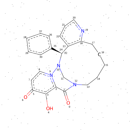 O=C1c2c(O)c(=O)ccn2N2CN1CCCCCc1ncccc1[C@@H]2c1ccccc1